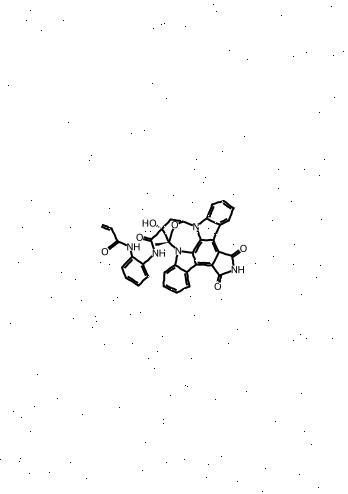 C=CC(=O)Nc1ccccc1NC(=O)[C@@]1(O)CC2O[C@]1(C)n1c3ccccc3c3c4c(c5c6ccccc6n2c5c31)C(=O)NC4=O